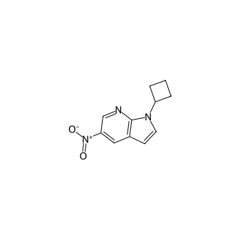 O=[N+]([O-])c1cnc2c(ccn2C2CCC2)c1